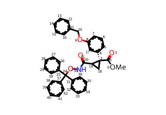 COC(=O)[C@@]1(c2cccc(OCc3ccccc3)c2)CC1C(=O)NOC(c1ccccc1)(c1ccccc1)c1ccccc1